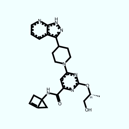 C[C@H](CO)Oc1nc(C(=O)NC23CC=C2C3)cc(N2CCC(c3n[nH]c4ncccc34)CC2)n1